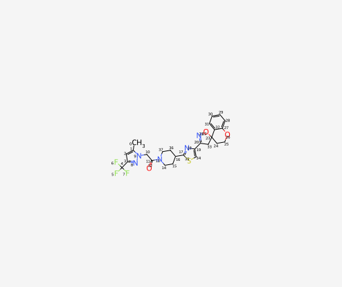 Cc1cc(C(F)(F)F)nn1CC(=O)N1CCC(c2nc(C3=NOC4(CCOc5ccccc54)C3)cs2)CC1